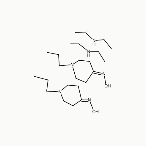 CCCN1CCC(=NO)CC1.CCCN1CCC(=NO)CC1.CCNCC.CCNCC